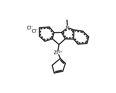 Cn1c2c(c3ccccc31)[CH]([Zr+2][C]1=CC=CC1)c1ccccc1-2.[Cl-].[Cl-]